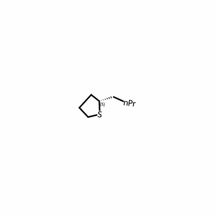 CCCC[C@H]1CCCS1